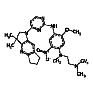 COc1cc(N(C)CCN(C)C)c([N+](=O)[O-])cc1Nc1nccc(N2CC(C)(C)c3nc4c(cc32)CCC4)n1